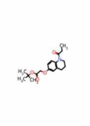 CCC(=O)N1CCCc2cc(OCC(=O)OC(C)(C)C)ccc21